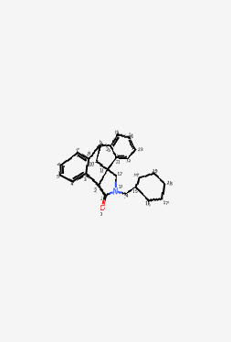 O=C1C2c3ccccc3C3CC2(CN1CC1CCCCC1)c1ccccc13